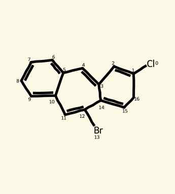 ClC1=CC2=Cc3ccccc3C=C(Br)C2=CC1